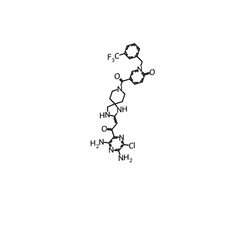 Nc1nc(N)c(C(=O)/C=C2\NCC3(CCN(C(=O)c4ccc(=O)n(Cc5cccc(C(F)(F)F)c5)c4)CC3)N2)nc1Cl